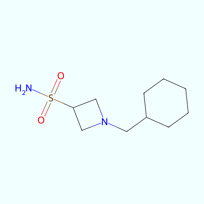 NS(=O)(=O)C1CN(CC2CCCCC2)C1